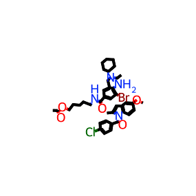 CCN(Cc1cc(C(=O)NCCCCCOC(C)=O)cc(Br)c1N)C1CCCCC1.COc1ccc2c(c1)cc(C)n2C(=O)c1ccc(Cl)cc1